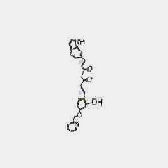 O=C(/C=C/c1ccc2cc[nH]c2c1)CC(=O)/C=C/c1ccc(OCc2ccccn2)cc1O